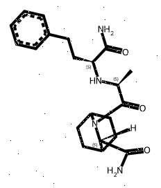 C[C@H](N[C@@H](CCc1ccccc1)C(N)=O)C(=O)N1C2CCC(CC2)[C@H]1C(N)=O